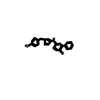 Nc1ccc(Cn2cc(Nc3ncc(Cl)c(-c4ccccc4)n3)cn2)cc1